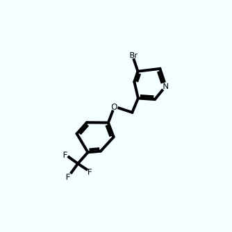 FC(F)(F)c1ccc(OCc2cncc(Br)c2)cc1